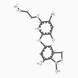 [C-]#[N+]c1cc(Cl)c(Oc2cc(C)c3c(c2)COB3O)nc1OCCOC(C)C